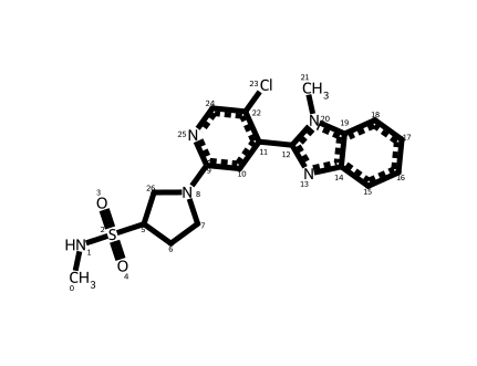 CNS(=O)(=O)C1CCN(c2cc(-c3nc4ccccc4n3C)c(Cl)cn2)C1